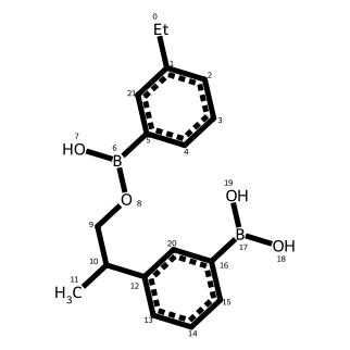 CCc1cccc(B(O)OCC(C)c2cccc(B(O)O)c2)c1